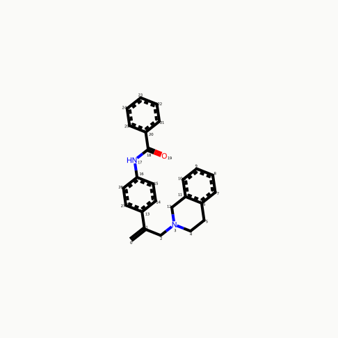 C=C(CN1CCc2ccccc2C1)c1ccc(NC(=O)c2ccccc2)cc1